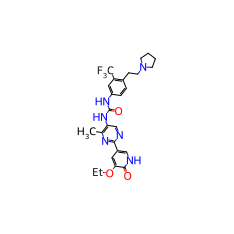 CCOc1cc(-c2ncc(NC(=O)Nc3ccc(CCN4CCCC4)c(C(F)(F)F)c3)c(C)n2)c[nH]c1=O